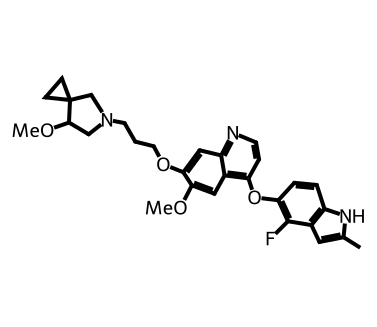 COc1cc2c(Oc3ccc4[nH]c(C)cc4c3F)ccnc2cc1OCCCN1CC(OC)C2(CC2)C1